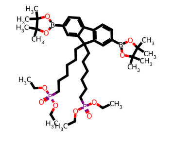 CCOP(=O)(CCCCCCC1(CCCCCCP(=O)(OCC)OCC)c2cc(B3OC(C)(C)C(C)(C)O3)ccc2-c2ccc(B3OC(C)(C)C(C)(C)O3)cc21)OCC